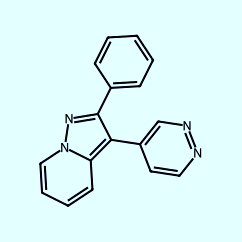 c1ccc(-c2nn3ccccc3c2-c2ccnnc2)cc1